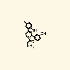 Cc1ccc2[nH]c3c(c2c1)CCN(C(=O)CN)C3c1cccc(O)c1